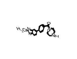 Cn1nc2ccc(-c3ccc(C(=O)N4CCNCC4)cc3)cc2n1